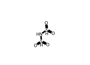 O=[SH](=O)N[SH](=O)=O